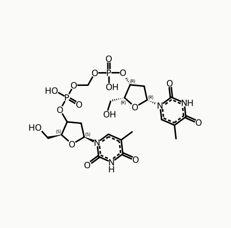 Cc1cn([C@@H]2CC(OP(=O)(O)OCOP(=O)(O)O[C@@H]3C[C@H](n4cc(C)c(=O)[nH]c4=O)O[C@@H]3CO)[C@H](CO)O2)c(=O)[nH]c1=O